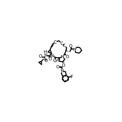 O=C1NC2(C(=O)NS(=O)(=O)C3CC3)CC2/C=C\CCCCC[C@H](CC(=O)N2CCCCC2)C(=O)N2C[C@H](OC(=O)N3Cc4cccc(F)c4C3)C[C@@H]12